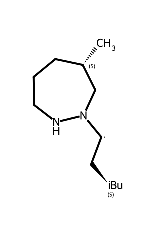 CC[C@H](C)C[CH]N1C[C@@H](C)CCCN1